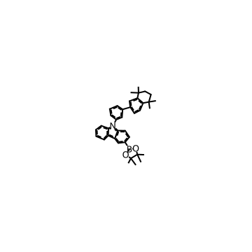 CC1(C)CCC(C)(C)c2cc(-c3cccc(-n4c5ccccc5c5cc(B6OC(C)(C)C(C)(C)O6)ccc54)c3)ccc21